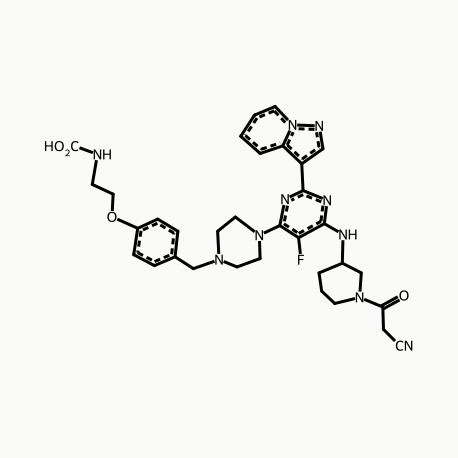 N#CCC(=O)N1CCCC(Nc2nc(-c3cnn4ccccc34)nc(N3CCN(Cc4ccc(OCCNC(=O)O)cc4)CC3)c2F)C1